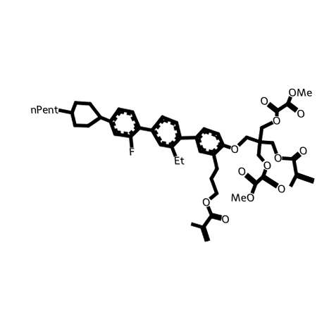 C=C(C)C(=O)OCCCc1cc(-c2ccc(-c3ccc(C4CCC(CCCCC)CC4)cc3F)cc2CC)ccc1OCC(COC(=O)C(=C)C)(COC(=O)C(=O)OC)COC(=O)C(=O)OC